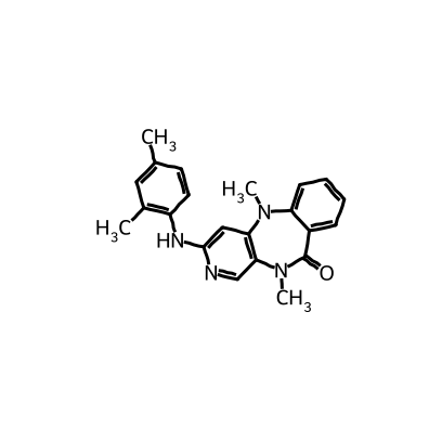 Cc1ccc(Nc2cc3c(cn2)N(C)C(=O)c2ccccc2N3C)c(C)c1